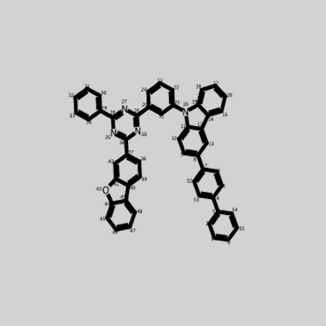 c1ccc(-c2ccc(-c3ccc4c(c3)c3ccccc3n4-c3cccc(-c4nc(-c5ccccc5)nc(-c5ccc6c(c5)oc5ccccc56)n4)c3)cc2)cc1